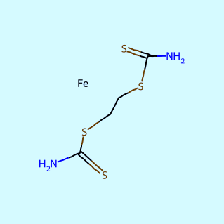 NC(=S)SCCSC(N)=S.[Fe]